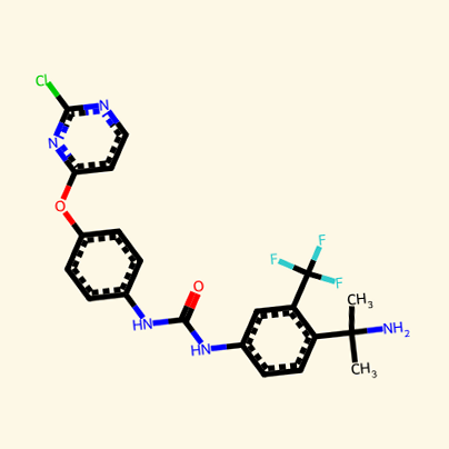 CC(C)(N)c1ccc(NC(=O)Nc2ccc(Oc3ccnc(Cl)n3)cc2)cc1C(F)(F)F